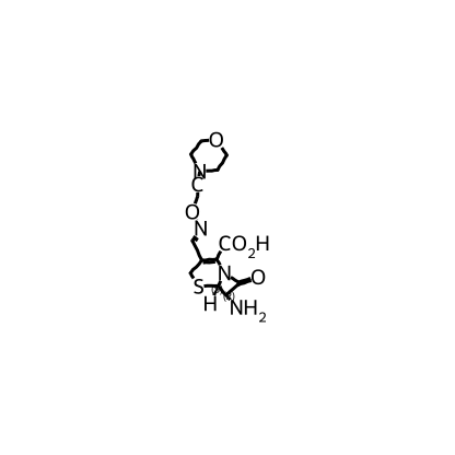 N[C@@H]1C(=O)N2C(C(=O)O)=C(C=NOCCN3CCOCC3)CS[C@@H]12